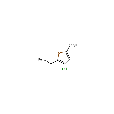 CCCCCCc1ccc(C(=O)O)s1.Cl